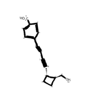 O=C(O)c1ccc(C#CC#C[C@H]2CC[C@@H]2CO)cc1